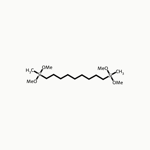 CO[Si](C)(CCCCCCCCC[Si](C)(OC)OC)OC